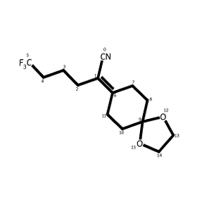 N#CC(CCCC(F)(F)F)=C1CCC2(CC1)OCCO2